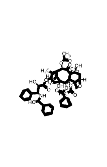 CC(=O)O[C@H]1C(=O)[C@@]2(C)[C@H]([C@H](OC(=O)c3ccccc3)[C@]3(O)CC(OC(=O)[C@H](O)[C@@H](NC(O)c4ccccc4)c4ccccc4)C(C)=C1C3(C)C)[C@]1(OC(C)=O)CO[C@@H]1C[C@@H]2O